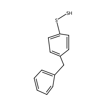 SSc1ccc(Cc2ccccc2)cc1